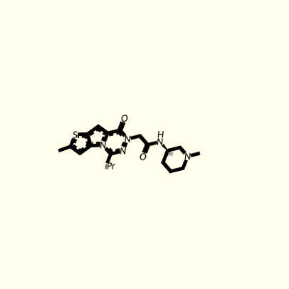 Cc1cc2c(cc3c(=O)n(CC(=O)N[C@@H]4CCCN(C)C4)nc(C(C)C)n32)s1